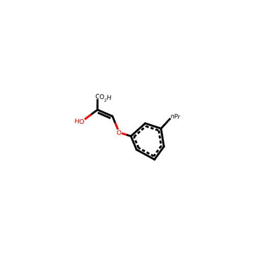 CCCc1cccc(OC=C(O)C(=O)O)c1